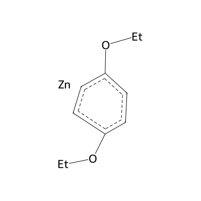 CCOc1ccc(OCC)cc1.[Zn]